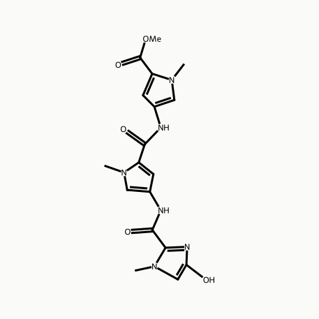 COC(=O)c1cc(NC(=O)c2cc(NC(=O)c3nc(O)cn3C)cn2C)cn1C